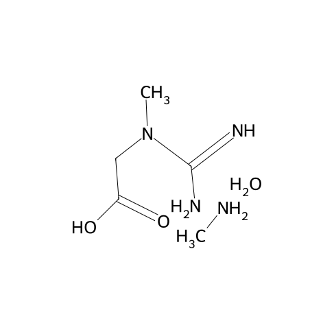 CN.CN(CC(=O)O)C(=N)N.O